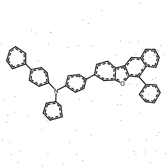 c1ccc(-c2ccc(N(c3ccccc3)c3ccc(-c4ccc5c(c4)oc4c(-c6ccccc6)c6ccccc6cc45)cc3)cc2)cc1